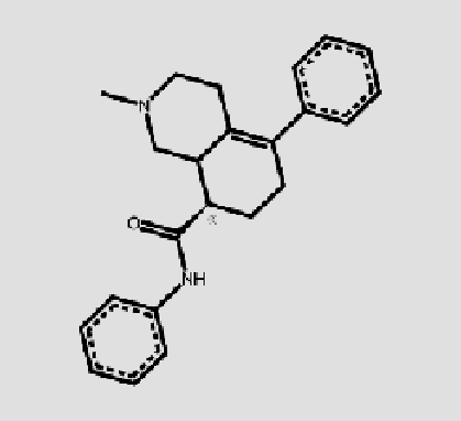 CN1CCC2=C(c3ccccc3)CC[C@@H](C(=O)Nc3ccccc3)C2C1